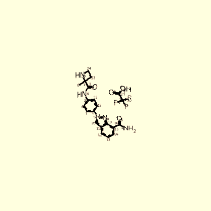 CC1(C(=O)Nc2ccc(-n3cc4cccc(C(N)=O)c4n3)cc2)CCN1.O=C(O)C(F)(F)F